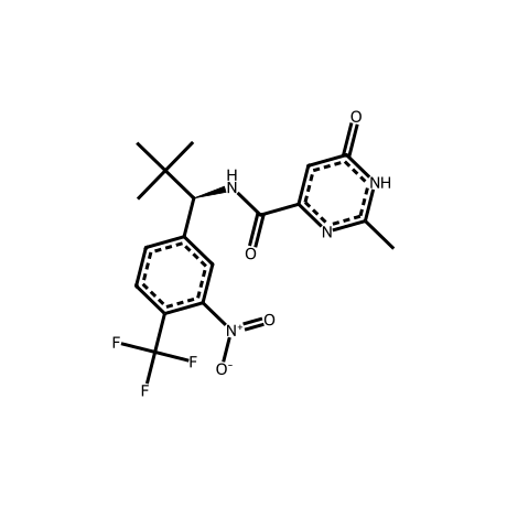 Cc1nc(C(=O)N[C@@H](c2ccc(C(F)(F)F)c([N+](=O)[O-])c2)C(C)(C)C)cc(=O)[nH]1